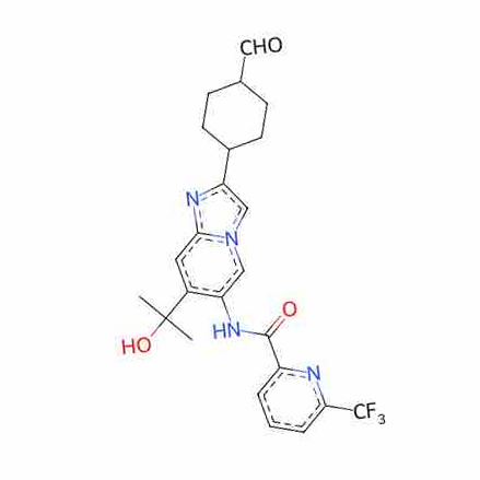 CC(C)(O)c1cc2nc(C3CCC(C=O)CC3)cn2cc1NC(=O)c1cccc(C(F)(F)F)n1